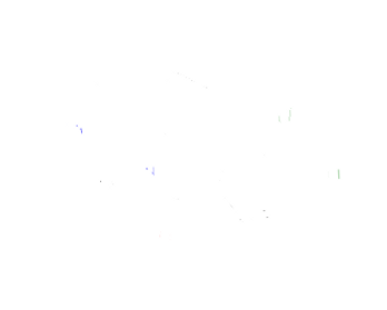 CN(C(=O)c1ccc(Cl)c(Cl)c1)C1CCCC1C1CCCN1